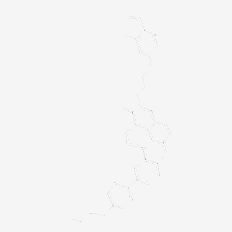 CCCCc1ccc(-c2ccc3oc4ccc5c(=O)n(CCCOc6cc(C)c(C=O)c(C)c6)c(=O)c6ccc(c3c2)c4c56)cc1